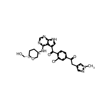 Cn1cc(CC(=O)c2ccc(C(=O)c3c[nH]c4ncnc(N[C@@H]5CC[C@@H](CO)OC5)c34)c(Cl)c2)cn1